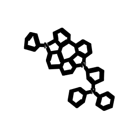 c1ccc(N(c2ccccc2)c2cccc(-n3c4cccc5c4c4c6c(ccc7c6c6c-5cccc6n7-c5ccccc5)ccc43)c2)cc1